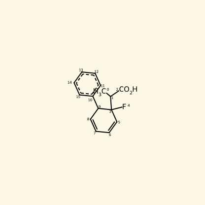 CC(C(=O)O)C1(F)C=CC=CC1c1ccccc1